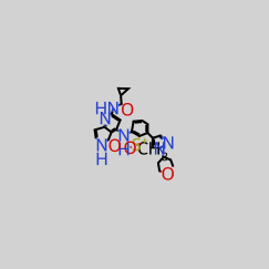 C[S+]([O-])c1c(Nc2cc(NC(=O)C3CC3)nc3cc[nH]c(=O)c23)cccc1-c1cnn(C2CCOCC2)c1